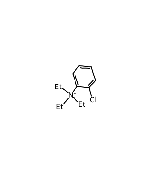 CC[N+](CC)(CC)c1ccccc1Cl